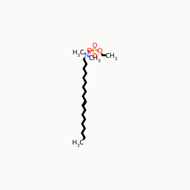 CCCCCCCC/C=C/CCCCCCCCC[N+](C)(C)OP(=O)([O-])OCC